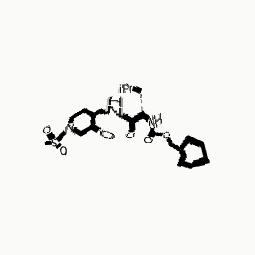 CC(C)C[C@H](NC(=O)OCc1ccccc1)C(=O)NC1CCN(S(C)(=O)=O)CC1=O